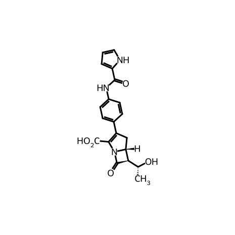 C[C@@H](O)[C@H]1C(=O)N2C(C(=O)O)=C(c3ccc(NC(=O)c4ccc[nH]4)cc3)C[C@H]12